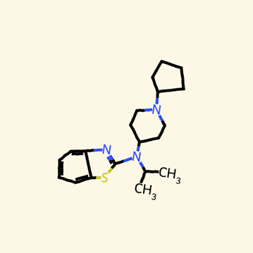 CC(C)N(c1nc2ccccc2s1)C1CCN(C2CCCC2)CC1